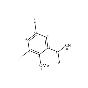 COc1c(F)cc(F)cc1C(C)C#N